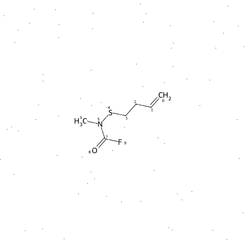 C=CCCSN(C)C(=O)F